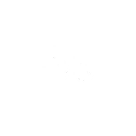 CCN1CCCC1CNc1nc(Cl)ncc1Cl